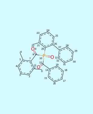 Cc1cccc(C)c1C(=O)P(=O)(C(=O)c1ccccc1)c1c(C)cccc1-c1ccccc1